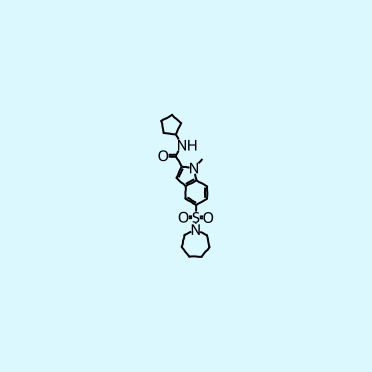 Cn1c(C(=O)NC2CCCC2)cc2cc(S(=O)(=O)N3CCCCCC3)ccc21